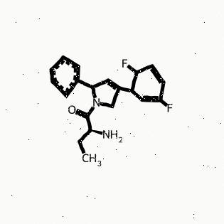 CC[C@H](N)C(=O)N1CC(C2C=C(F)C=CC2F)=CC1c1ccccc1